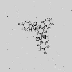 CC1CCC(C(=O)Nc2cc(NC(=O)C3CCC(C)CC3)cc(C3CCCCC3)c2)CC1